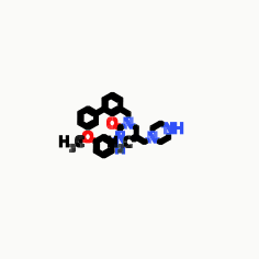 C=C(CN1CCNCC1)CN(Cc1cccc(-c2ccccc2)c1)C(=O)Nc1cccc(OC)c1